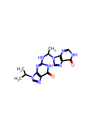 CC(C)n1cnc2c(=O)[nH]c(NC(C)n3cnc4c(=O)[nH]cnc43)nc21